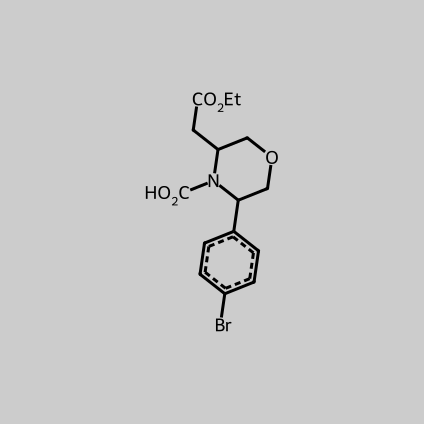 CCOC(=O)CC1COCC(c2ccc(Br)cc2)N1C(=O)O